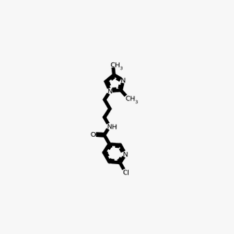 Cc1cn(CCCNC(=O)c2ccc(Cl)nc2)c(C)n1